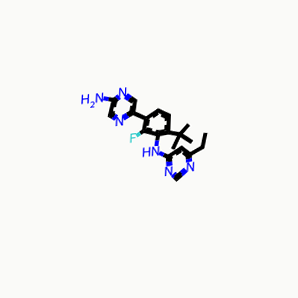 CCc1cc(Nc2c(C(C)(C)C)ccc(-c3cnc(N)cn3)c2F)ncn1